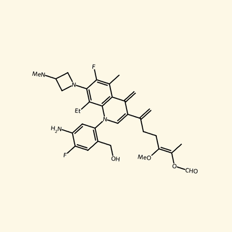 C=C(CC/C(OC)=C(\C)OC=O)C1=CN(c2cc(N)c(F)cc2CO)c2c(CC)c(N3CC(NC)C3)c(F)c(C)c2C1=C